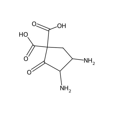 NC1CC(C(=O)O)(C(=O)O)C(=O)C1N